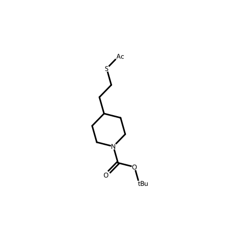 CC(=O)SCCC1CCN(C(=O)OC(C)(C)C)CC1